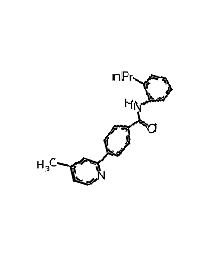 CCCc1ccccc1NC(=O)c1ccc(-c2cc(C)ccn2)cc1